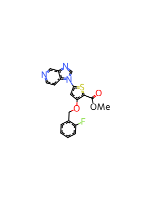 COC(=O)c1sc(-n2cnc3cnccc32)cc1OCc1ccccc1F